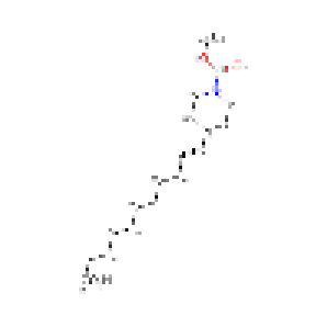 CC(C)(C)OC(=O)N1CCC(C=CCCCCCCCCC(=O)O)CC1